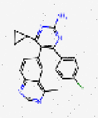 Cc1ncnc2ccc(-c3c(-c4ccc(F)cc4)nc(N)nc3C3CC3)cc12